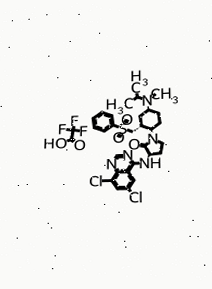 CC(C)N(C)[C@@H]1CC[C@H](N2CC[C@H](Nc3ncnc4c(Cl)cc(Cl)cc34)C2=O)[C@H](CS(=O)(=O)c2ccccc2)C1.O=C(O)C(F)(F)F